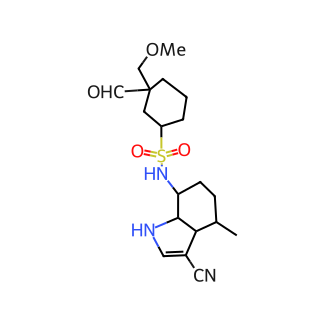 COCC1(C=O)CCCC(S(=O)(=O)NC2CCC(C)C3C(C#N)=CNC23)C1